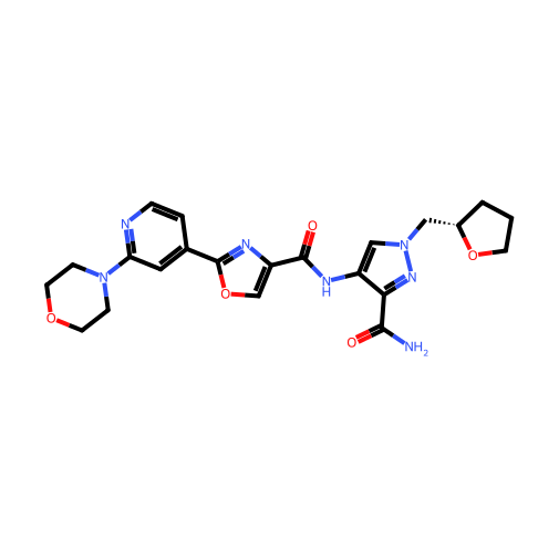 NC(=O)c1nn(C[C@@H]2CCCO2)cc1NC(=O)c1coc(-c2ccnc(N3CCOCC3)c2)n1